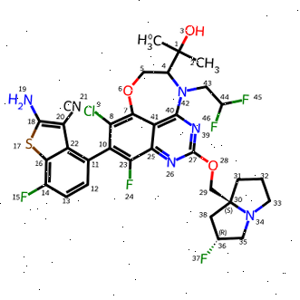 CC(C)(O)C1COc2c(Cl)c(-c3ccc(F)c4sc(N)c(C#N)c34)c(F)c3nc(OC[C@@]45CCCN4C[C@H](F)C5)nc(c23)N1CC(F)F